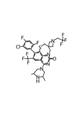 CC1CN(c2nc(=O)n3c4c(c(-c5cc(Cl)c(F)cc5F)c(C(F)(F)F)cc24)SCC2(CN(CC(F)(F)F)C2)C3)CC(C)N1